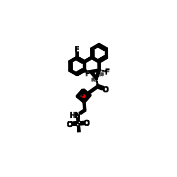 CS(=O)(=O)NCC12CC(C1)N(C(=O)[C@@H]1C[C@@]1(F)c1ccccc1-c1c(F)cccc1F)C2